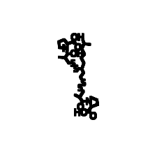 CC(C)CCCCC(CCSSCC(C)C(=O)N1CCCC1C(=O)O)SSCC(C)C(O)N1CCCC1C(=O)O